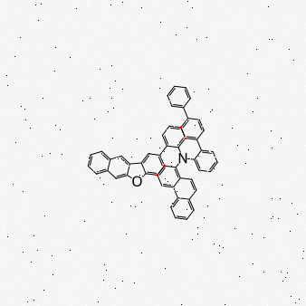 c1ccc(-c2ccc(-c3ccccc3N(c3ccccc3-c3ccc4oc5cc6ccccc6cc5c4c3)c3cccc4c3ccc3ccccc34)cc2)cc1